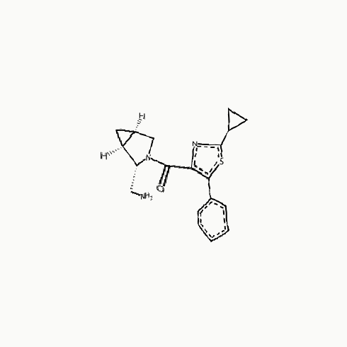 NC[C@@H]1[C@H]2C[C@H]2CN1C(=O)c1nc(C2CC2)sc1-c1ccccc1